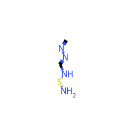 C=N/N=C/NSN